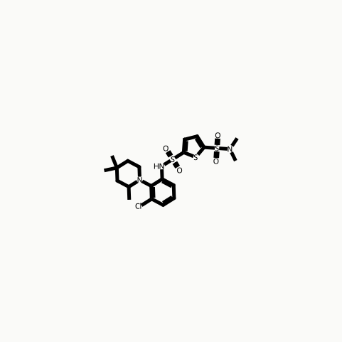 CC1CC(C)(C)CCN1c1c(Cl)cccc1NS(=O)(=O)c1ccc(S(=O)(=O)N(C)C)s1